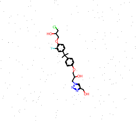 CC(C)(c1ccc(OCC(O)Cn2cc(CO)nn2)cc1)c1ccc(OCC(O)CCl)c(F)c1